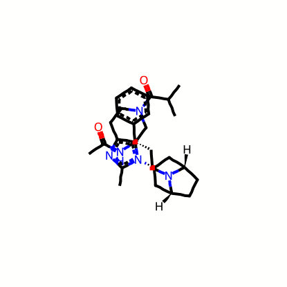 CC(=O)N[C@@H](CCN1[C@@H]2CC[C@H]1C[C@@H](n1c(C)nc3c1CN(C(=O)C(C)C)CC3)C2)c1ccccc1